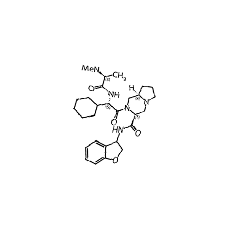 CN[C@@H](C)C(=O)N[C@H](C(=O)N1C[C@H]2CCCN2C[C@H]1C(=O)NC1COc2ccccc21)C1CCCCC1